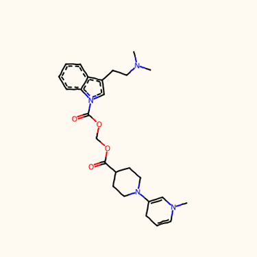 CN1C=CCC(N2CCC(C(=O)OCOC(=O)n3cc(CCN(C)C)c4ccccc43)CC2)=C1